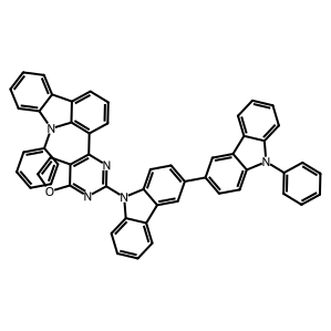 c1ccc(-n2c3ccccc3c3cc(-c4ccc5c(c4)c4ccccc4n5-c4nc(-c5cccc6c7ccccc7n(-c7ccccc7)c56)c5ccoc5n4)ccc32)cc1